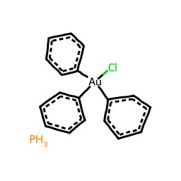 P.[Cl][Au]([c]1ccccc1)([c]1ccccc1)[c]1ccccc1